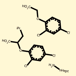 CC(C)CC(Oc1ccc(Cl)cc1Cl)C(=O)O.CCCCCCCN.O=C(O)COc1ccc(Cl)cc1Cl